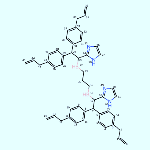 C=CCc1ccc(C(c2ccc(CC=C)cc2)C(BCCCBC(c2ncc[nH]2)C(c2ccc(CC=C)cc2)c2ccc(CC=C)cc2)c2ncc[nH]2)cc1